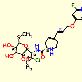 CSC1O[C@H]([C@H](NC(=O)[C@@H]2CC=C(/C=C/COc3ccnc(F)c3)CCN2)[C@H](C)Cl)[C@@H](O)C(O)[C@H]1O